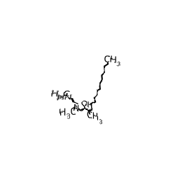 CCCCCCCCCCCCCCC(C)C(O)CN(C)CCCNC